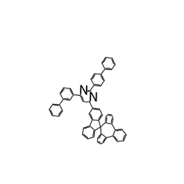 c1ccc(-c2ccc(-c3nc(-c4cccc(-c5ccccc5)c4)cc(-c4ccc5c(c4)-c4ccccc4C54c5ccccc5-c5ccccc5-c5ccccc54)n3)cc2)cc1